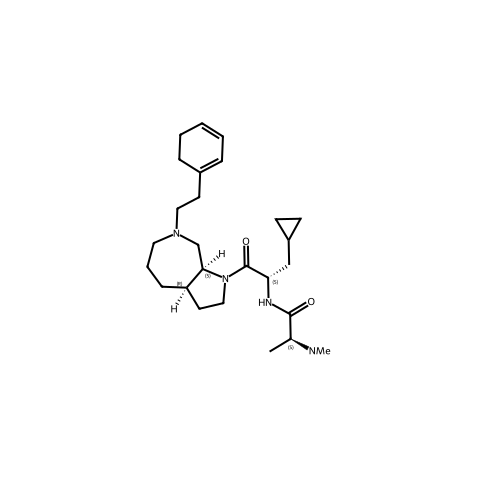 CN[C@@H](C)C(=O)N[C@@H](CC1CC1)C(=O)N1CC[C@H]2CCCN(CCC3=CC=CCC3)C[C@H]21